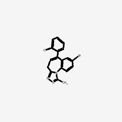 Cc1nnc2n1-c1ccc(Br)cc1C(c1ccccc1Cl)=CC2